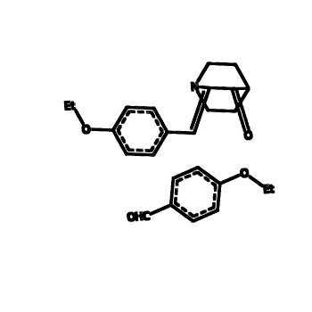 CCOc1ccc(C=C2C(=O)C3CCN2CC3)cc1.CCOc1ccc(C=O)cc1